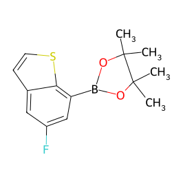 CC1(C)OB(c2cc(F)cc3ccsc23)OC1(C)C